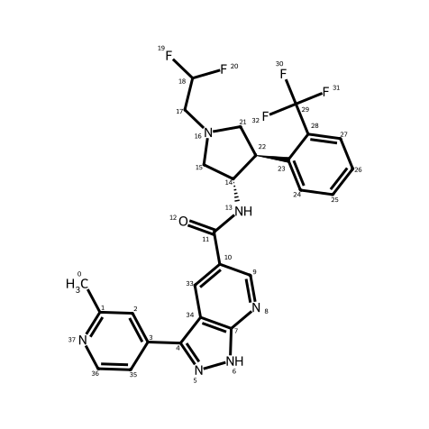 Cc1cc(-c2n[nH]c3ncc(C(=O)N[C@@H]4CN(CC(F)F)C[C@H]4c4ccccc4C(F)(F)F)cc23)ccn1